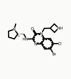 CN1CCC[C@H]1CNc1nc2cc(Br)c(Cl)cc2n(CC2CNC2)c1=O